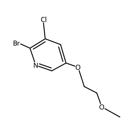 COCCOc1cnc(Br)c(Cl)c1